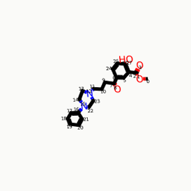 COC(=O)c1cc(C(=O)CCCN2CCN(c3ccccc3)CC2)ccc1O